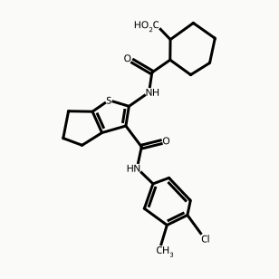 Cc1cc(NC(=O)c2c(NC(=O)C3CCCCC3C(=O)O)sc3c2CCC3)ccc1Cl